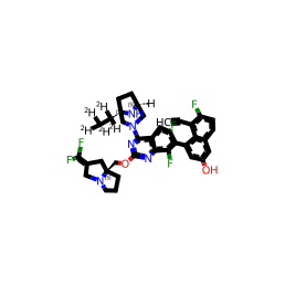 [2H]C([2H])([2H])C([2H])([2H])[C@@]12CC[C@@H](CN(c3nc(OC[C@@]45CCCN4CC(=C(F)F)C5)nc4c(F)c(-c5cc(O)cc6ccc(F)c(C#C)c56)c(F)cc34)C1)N2